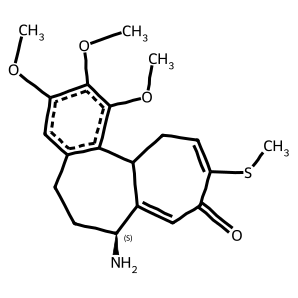 COc1cc2c(c(OC)c1OC)C1CC=C(SC)C(=O)C=C1[C@@H](N)CC2